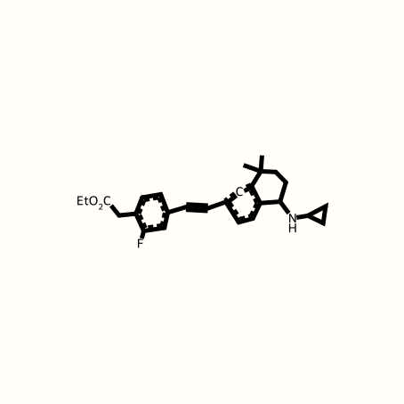 CCOC(=O)Cc1ccc(C#Cc2ccc3c(c2)C(C)(C)CCC3NC2CC2)cc1F